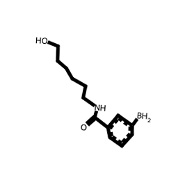 Bc1cccc(C(=O)NCCCCCCO)c1